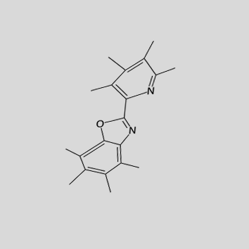 Cc1nc(-c2nc3c(C)c(C)c(C)c(C)c3o2)c(C)c(C)c1C